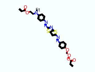 C=CC(=O)OCCN(CC)c1ccc(N=Nc2nc3sc(N=Nc4ccc(OCOOC(=O)C=C)cc4)cc3s2)cc1